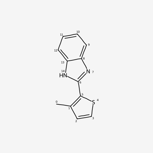 Cc1ccsc1-c1nc2ccccc2[nH]1